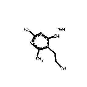 Cc1nc(O)nc(O)c1CCO.[NaH]